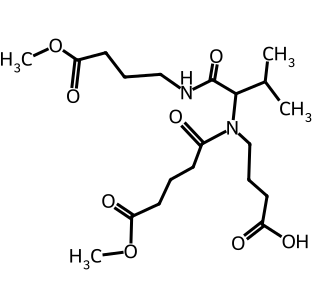 COC(=O)CCCNC(=O)C(C(C)C)N(CCCC(=O)O)C(=O)CCCC(=O)OC